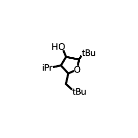 CC(C)C1C(CC(C)(C)C)OC(C(C)(C)C)C1O